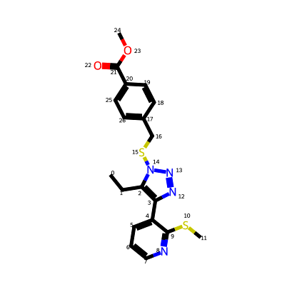 CCc1c(-c2cccnc2SC)nnn1SCc1ccc(C(=O)OC)cc1